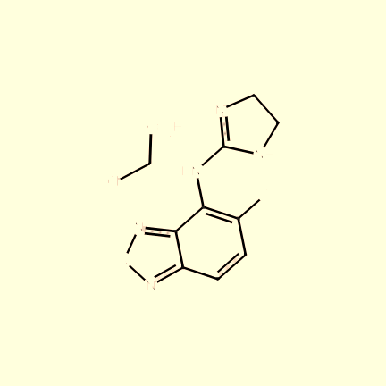 Clc1ccc2nsnc2c1NC1=NCCN1.O=C(O)CCl